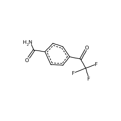 NC(=O)c1ccc(C(=O)C(F)(F)F)cc1